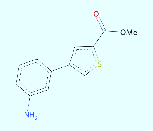 COC(=O)c1cc(-c2cccc(N)c2)cs1